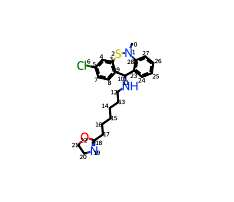 CN1Sc2cc(Cl)ccc2C(NCCCCCCC2=NCCO2)c2ccccc21